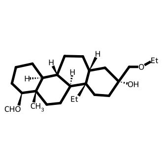 CCOC[C@@]1(O)CC[C@@]2(CC)[C@H](CC[C@H]3[C@@H]4CCC[C@H](C=O)[C@@]4(C)CC[C@@H]32)C1